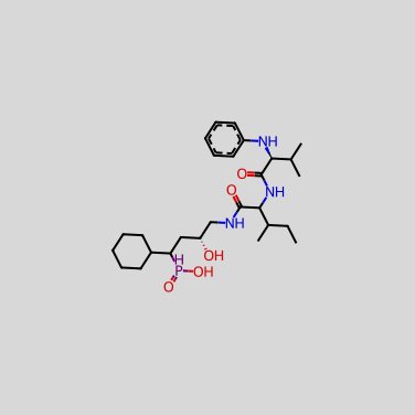 CCC(C)C(NC(=O)[C@@H](Nc1ccccc1)C(C)C)C(=O)NC[C@H](O)CC(C1CCCCC1)[PH](=O)O